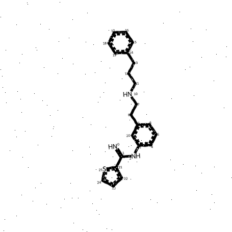 N=C(Nc1cccc(CCNCCCc2ccccc2)c1)c1cccs1